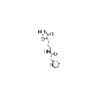 NC(=O)C(=O)CCCNC(=O)[CH]c1ccccn1